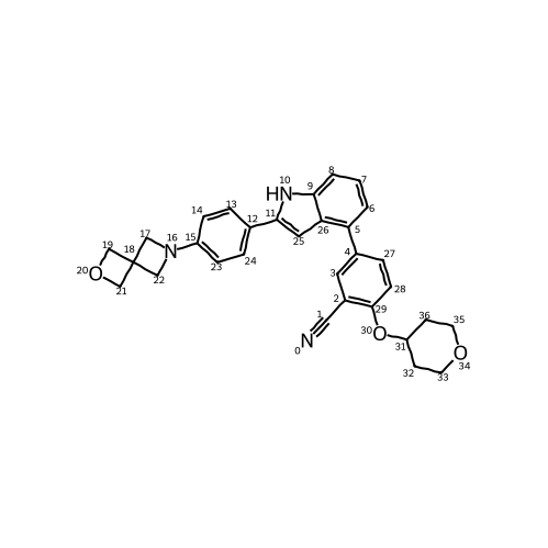 N#Cc1cc(-c2cccc3[nH]c(-c4ccc(N5CC6(COC6)C5)cc4)cc23)ccc1OC1CCOCC1